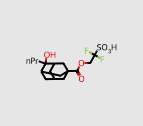 CCCC1(O)C2CC3CC1CC(C(=O)OCC(F)(F)S(=O)(=O)O)(C3)C2